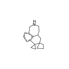 c1cc2c3c(c1)C1(CC1)C1(CCC1)CC3CCNC2